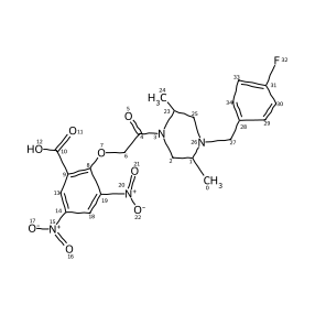 CC1CN(C(=O)COc2c(C(=O)O)cc([N+](=O)[O-])cc2[N+](=O)[O-])C(C)CN1Cc1ccc(F)cc1